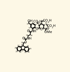 COC(=O)[C@H]1O[C@@H](Oc2ccc(CO)cc2NC(=O)CCNC(=O)OCC2c3ccccc3-c3ccccc32)[C@H](CC(=O)O)[C@@H](CC(=O)O)[C@@H]1CC(=O)O